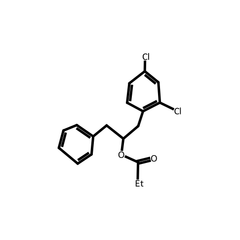 CCC(=O)OC(Cc1ccccc1)Cc1ccc(Cl)cc1Cl